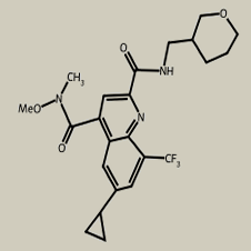 CON(C)C(=O)c1cc(C(=O)NCC2CCCOC2)nc2c(C(F)(F)F)cc(C3CC3)cc12